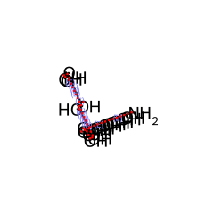 CC(/C=C/CC/C=C/C=C/C=C/C=C/C(=O)NC1=C(O)CCC1=O)C(O)C(C)C(O)/C=C/C=C/C=C/C=C/C=C/CC(OC1OC(C)C(O)C(O)C1O)C(C)C1(CC(O)CC(O)CC(O)/C=C/CC(O)CC(O)CC(O)CC(O)/C=C/CC(O)CC(O)CCCN)OCCO1